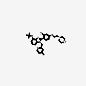 Cc1ccnc(Cn2c(-c3ccc(OCCN4CCNCC4)cc3Cl)nc3c(OC(C)(C)C)cccc32)c1